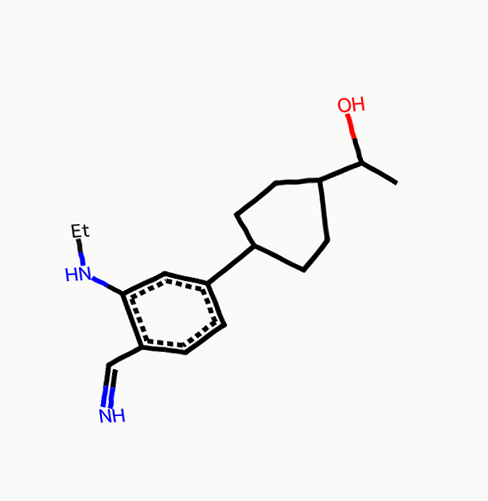 CCNc1cc(C2CCC(C(C)O)CC2)ccc1C=N